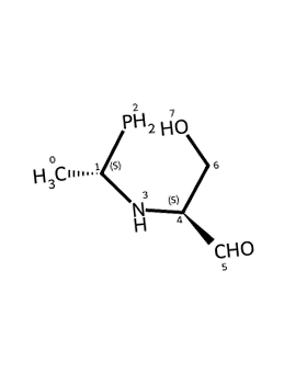 C[C@H](P)N[C@H](C=O)CO